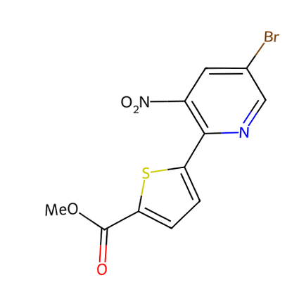 COC(=O)c1ccc(-c2ncc(Br)cc2[N+](=O)[O-])s1